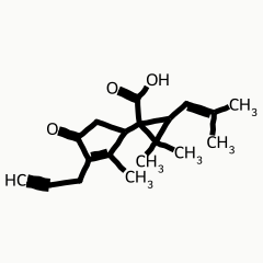 C#CCC1=C(C)C(C2(C(=O)O)C(C=C(C)C)C2(C)C)CC1=O